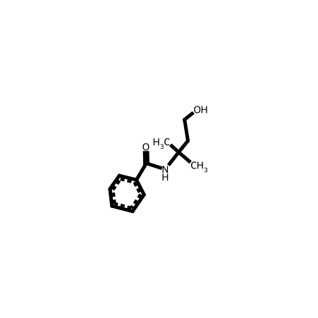 CC(C)(CCO)NC(=O)c1ccccc1